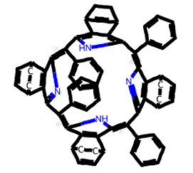 C1=CC2CCC1C1=C2/C2=C(\c3ccccc3)c3[nH]c(c4c3C3C=CC4CC3)/C(c3ccccc3)=C3N=C(C4=C\3C3C=CC4CC3)/C(c3ccccc3)=c3\[nH]/c(c4c3C3C=CC4CC3)=C(/c3ccccc3)C1=N2